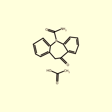 CC(=O)O.NC(=O)N1c2ccccc2CC(=O)c2ccccc21